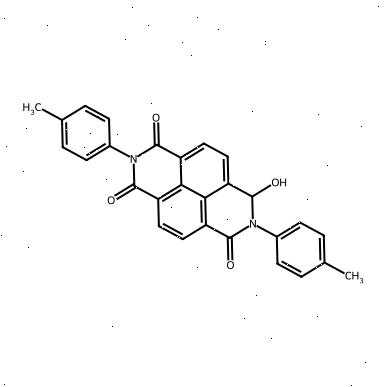 Cc1ccc(N2C(=O)c3ccc4c5c(ccc(c35)C2=O)C(O)N(c2ccc(C)cc2)C4=O)cc1